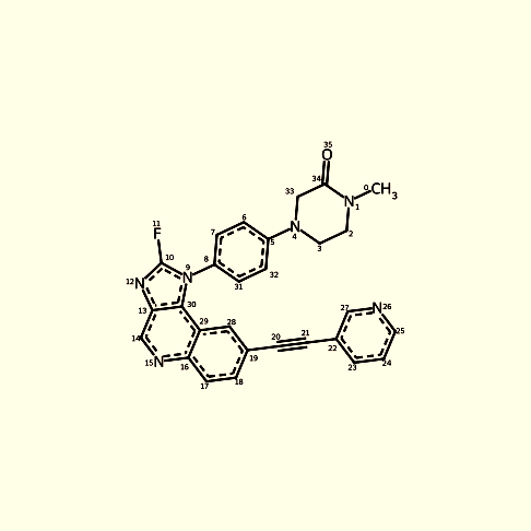 CN1CCN(c2ccc(-n3c(F)nc4cnc5ccc(C#Cc6cccnc6)cc5c43)cc2)CC1=O